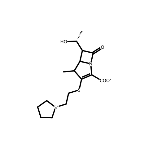 CC1C(SCC[S+]2CCCC2)=C(C(=O)[O-])N2C(=O)C([C@@H](C)O)C12